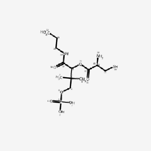 CC(C)(COP(=O)(O)O)C(OC(=O)[C@@H](N)CS)C(=O)NCCC(=O)O